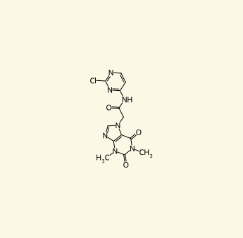 Cn1c(=O)c2c(ncn2CC(=O)Nc2ccnc(Cl)n2)n(C)c1=O